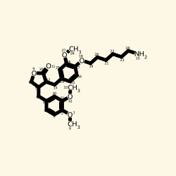 COc1ccc(CC2COC(=O)C2Cc2ccc(OCCCCCCN)c(OC)c2)cc1OC